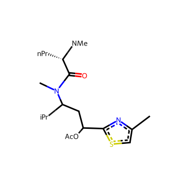 CCC[C@H](NC)C(=O)N(C)C(CC(OC(C)=O)c1nc(C)cs1)C(C)C